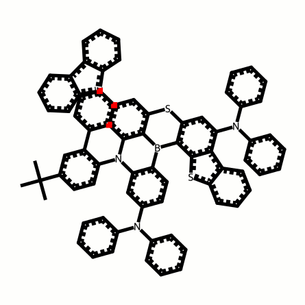 CC(C)(C)c1ccc(N2c3cc(N(c4ccccc4)c4ccccc4)ccc3B3c4c(cc(-n5c6ccccc6c6ccccc65)cc42)Sc2cc(N(c4ccccc4)c4ccccc4)c4c(sc5ccccc54)c23)c(-c2ccccc2)c1